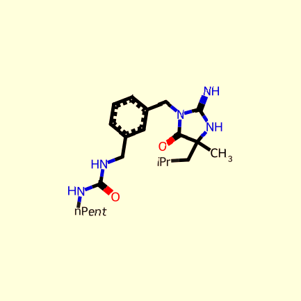 CCCCCNC(=O)NCc1cccc(CN2C(=N)NC(C)(CC(C)C)C2=O)c1